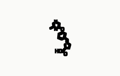 Cc1cncc(Oc2cccc(CN3CCC(C(=O)O)C3)c2)n1